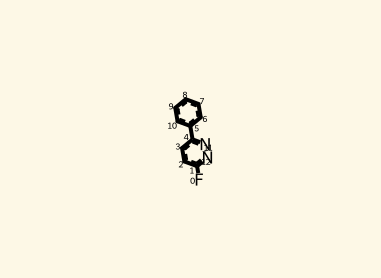 Fc1ccc(-c2ccccc2)nn1